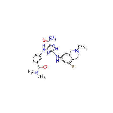 CN1CCc2c(Br)cc(Nc3nnc(C(N)=O)c(Nc4cccc(C(=O)N(C)C)c4)n3)cc2C1